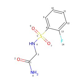 NC(=O)CNS(=O)(=O)c1ccccc1F